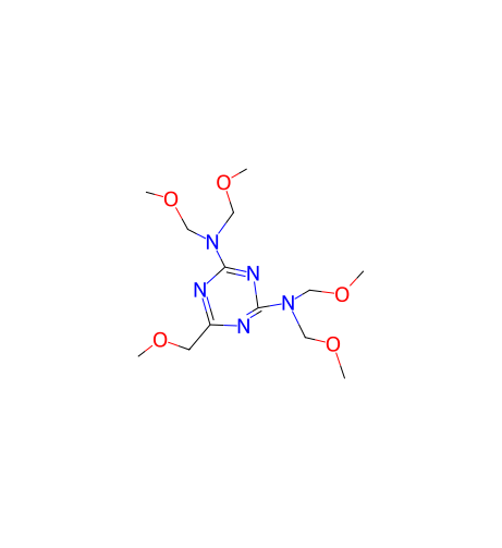 COCc1nc(N(COC)COC)nc(N(COC)COC)n1